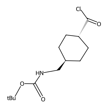 CC(C)(C)OC(=O)NC[C@H]1CC[C@H](C(=O)Cl)CC1